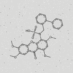 COc1cc2oc3c(N(Cc4ccccc4-c4ccccc4)S(=O)(=O)O)c(OC)cc(OC)c3c(=O)c2cc1OC